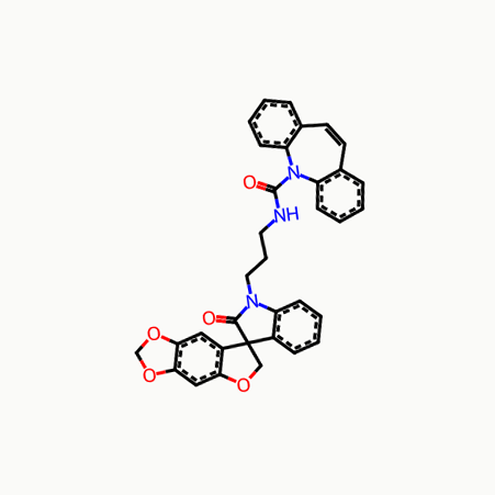 O=C(NCCCN1C(=O)C2(COc3cc4c(cc32)OCO4)c2ccccc21)N1c2ccccc2C=Cc2ccccc21